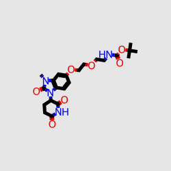 Cn1c(=O)n(C2CCC(=O)NC2=O)c2ccc(OCCOCCNC(=O)OC(C)(C)C)cc21